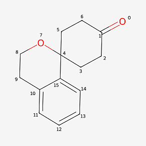 O=C1CCC2(CC1)OCCc1ccccc12